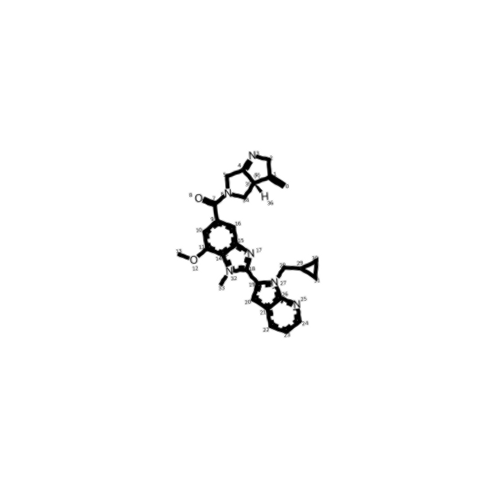 C=C1CN=C2CN(C(=O)c3cc(OC)c4c(c3)nc(-c3cc5cccnc5n3CC3CC3)n4C)C[C@@H]12